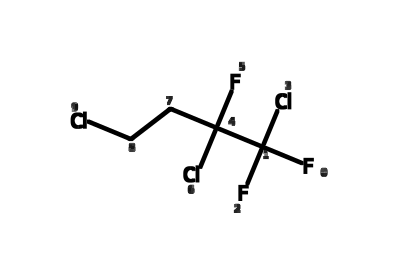 FC(F)(Cl)C(F)(Cl)CCCl